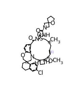 CO[C@H]1/C=C/C[C@H](C)CS(=O)(NC(=O)N2CC3(CCCO3)C2)=NC(=O)c2ccc3c(c2)N(C[C@@H]2CC[C@H]21)C[C@@]1(CCCc2cc(Cl)ccc21)CO3